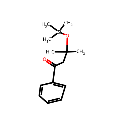 CC(C)(CC(=O)c1ccccc1)O[Si](C)(C)C